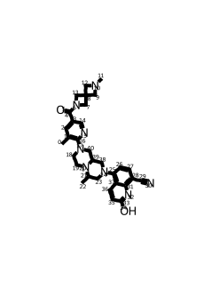 Cc1cc(C(=O)N2CC3(CN(C)C3)C2)cnc1N1CCN2C(C)CN(c3ccc(C#N)c4nc(O)ccc34)CC2C1